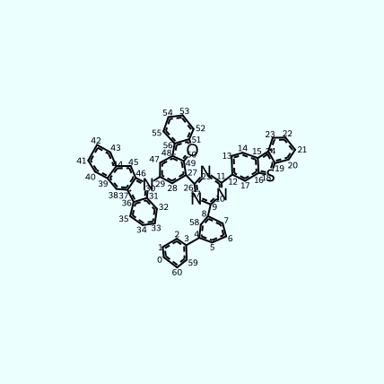 c1ccc(-c2cccc(-c3nc(-c4ccc5c(c4)sc4ccccc45)nc(-c4cc(-n5c6ccccc6c6cc7ccccc7cc65)cc5c4oc4ccccc45)n3)c2)cc1